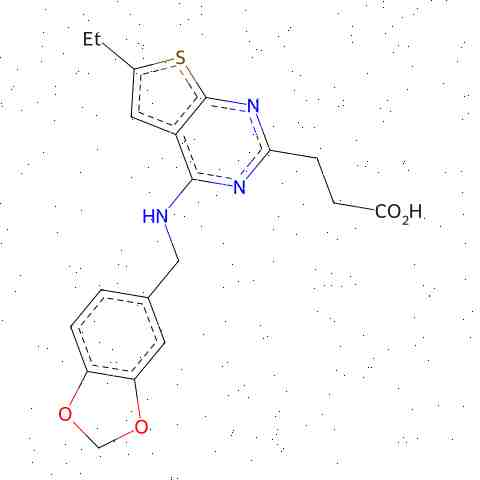 CCc1cc2c(NCc3ccc4c(c3)OCO4)nc(CCC(=O)O)nc2s1